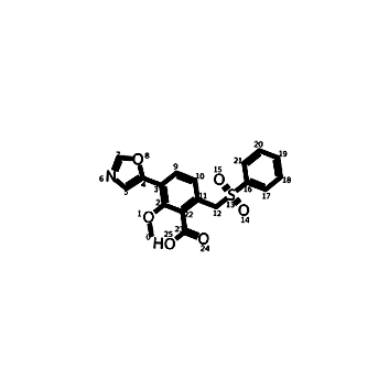 COc1c(-c2cnco2)ccc(CS(=O)(=O)c2ccccc2)c1C(=O)O